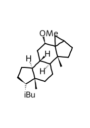 CC[C@@H](C)[C@H]1CC[C@H]2[C@@H]3C[C@@H](OC)C45CC4CC[C@]5(C)[C@H]3CC[C@]12C